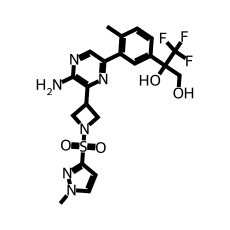 Cc1ccc(C(O)(CO)C(F)(F)F)cc1-c1cnc(N)c(C2CN(S(=O)(=O)c3ccn(C)n3)C2)n1